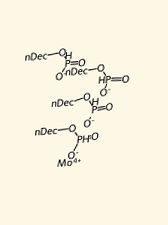 CCCCCCCCCCO[PH](=O)[O-].CCCCCCCCCCO[PH](=O)[O-].CCCCCCCCCCO[PH](=O)[O-].CCCCCCCCCCO[PH](=O)[O-].[Mo+4]